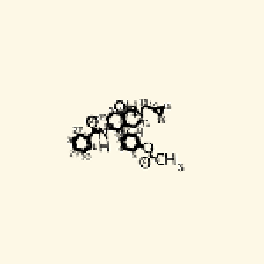 CC(=O)Oc1cccc([C@@]23CCN(CC4CC4)C[C@@]2(O)CC[C@@H](NC(=O)c2ccccc2)C3)c1